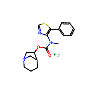 CN(C(=O)OC1CN2CCCC1C2)c1ncsc1-c1ccccc1.Cl